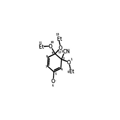 CCOC1(C#N)C=C([O])C=CC1(OCC)OCC